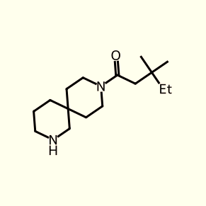 CCC(C)(C)CC(=O)N1CCC2(CCCNC2)CC1